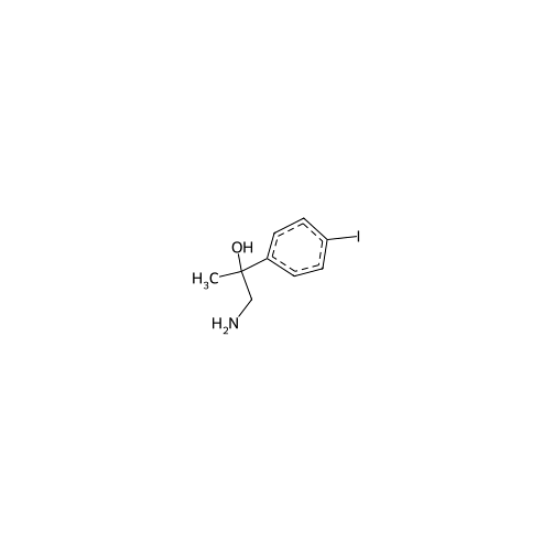 CC(O)(CN)c1ccc(I)cc1